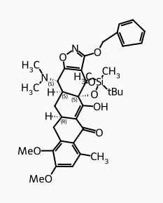 COc1cc(C)c2c(c1OC)C[C@H]1C[C@H]3[C@H](N(C)C)c4onc(OCc5ccccc5)c4C(=O)[C@@]3(O[Si](C)(C)C(C)(C)C)C(O)=C1C2=O